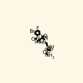 NC(=O)OS(=O)(=O)NCCNc1nonc1-c1noc(=O)n1-c1ccc(F)c(Br)c1